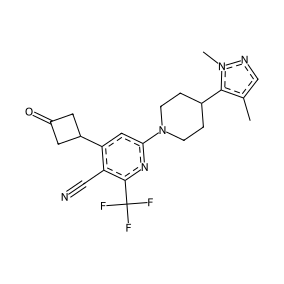 Cc1cnn(C)c1C1CCN(c2cc(C3CC(=O)C3)c(C#N)c(C(F)(F)F)n2)CC1